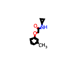 Cc1cccc(OCC(=O)NC2CC2)c1